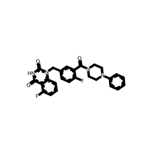 O=C(c1cc(Cn2c(=O)[nH]c(=O)c3c(F)cccc32)ccc1F)N1CCN(c2ccccc2)CC1